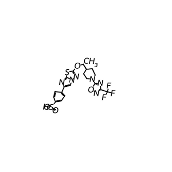 CC(Oc1nn2cc(-c3ccc([SH](=O)=O)cc3)nc2s1)C1CCN(c2nc(C(F)(F)F)no2)CC1